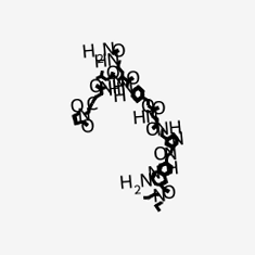 CCCN(CCC)C(=O)C1=Cc2ccc(C(=O)Nc3cncc(CNC(=O)CNC(=O)OCc4ccc(NC(=O)C(CCCNC(N)=O)NC(=O)C(NC(=O)CCCCCN5C(=O)C=CC5=O)C(C)C)cc4)c3)cc2N=C(N)C1